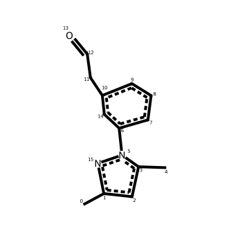 Cc1cc(C)n(-c2cccc(C[C]=O)c2)n1